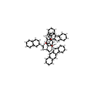 CC1C/C=C(c2cc3oc4ccccc4c3cc2-n2c3ccccc3c3cc4ccccc4cc32)/N=C(c2ccc3ccccc3c2)\N=C/1c1cccc2c1sc1ccccc12